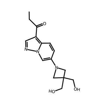 CCC(=O)c1cnn2cc(N3CC(CO)(CO)C3)ccc12